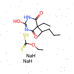 CCCC(C)C1(CC)C(=O)N=C(O)NC1=O.CCOC(=S)S.[NaH].[NaH]